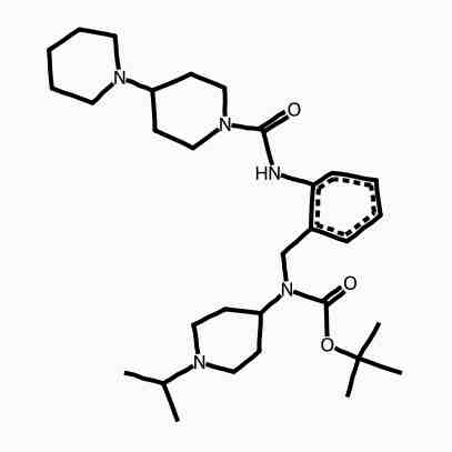 CC(C)N1CCC(N(Cc2ccccc2NC(=O)N2CCC(N3CCCCC3)CC2)C(=O)OC(C)(C)C)CC1